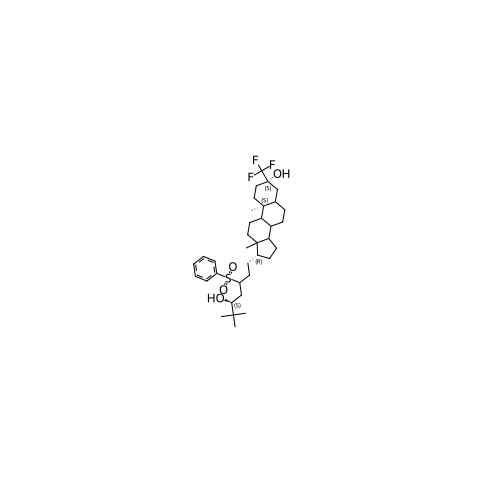 CC(C)(C)[C@@H](O)CC(CC[C@H]1CCC2C3CCC4C[C@](O)(C(F)(F)F)CC[C@]4(C)C3CCC21C)S(=O)(=O)c1ccccc1